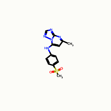 Cc1cc(Nc2ccc(S(C)(=O)=O)cc2)n2ncnc2n1